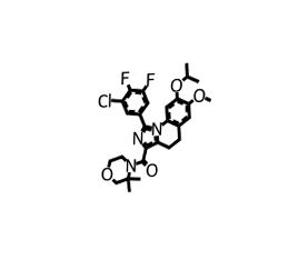 COc1cc2c(cc1OC(C)C)-n1c(-c3cc(F)c(F)c(Cl)c3)nc(C(=O)N3CCOCC3(C)C)c1CC2